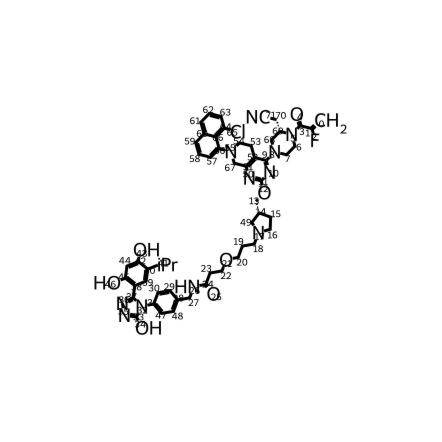 C=C(F)C(=O)N1CCN(c2nc(OC[C@@H]3CCN(CCCOCCC(=O)NCc4ccc(-n5c(O)nnc5-c5cc(C(C)C)c(O)cc5O)cc4)C3)nc3c2CCN(c2cccc4cccc(Cl)c24)C3)C[C@@H]1CC#N